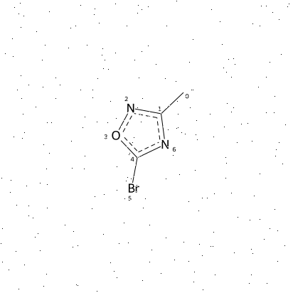 Cc1noc(Br)n1